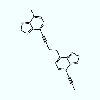 CC#Cc1ccc(CCC#Cc2ncc(C)c3nsnc23)c2nsnc12